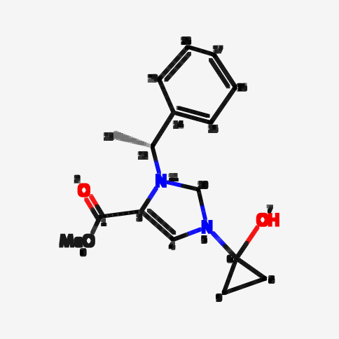 COC(=O)C1=CN(C2(O)CC2)CN1[C@H](C)c1ccccc1